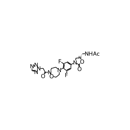 CC(=O)NC[C@H]1CN(c2cc(F)c(N3CCON(C(=O)Cn4ncnn4)CC3)c(F)c2)C(=O)O1